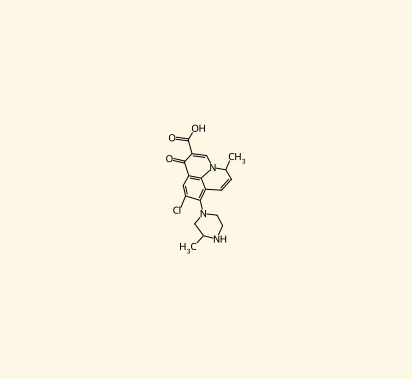 CC1CN(c2c(Cl)cc3c(=O)c(C(=O)O)cn4c3c2C=CC4C)CCN1